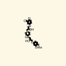 COc1cc(OC[C@@H](O)CNC2CCN(C[C@@H](O)COc3ccc(Cl)c(Cl)c3)CC2)ccc1F